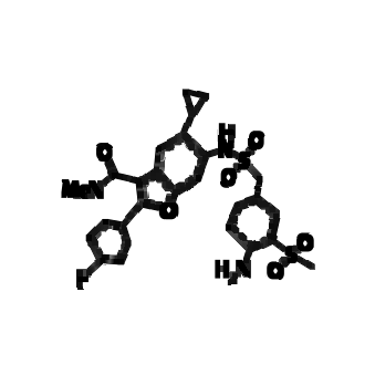 CNC(=O)c1c(-c2ccc(F)cc2)oc2cc(NS(=O)(=O)Cc3ccc(N)c(S(C)(=O)=O)c3)c(C3CC3)cc12